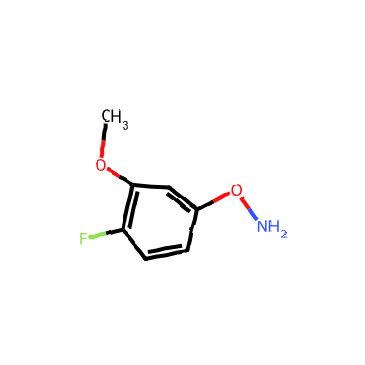 COc1cc(ON)ccc1F